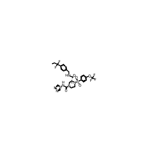 CCC(F)(F)c1ccc(CNC(=O)[C@H]2CN(C(=O)Nn3cnnc3)CCN2S(=O)(=O)c2ccc(OC(F)(F)F)cc2)cc1